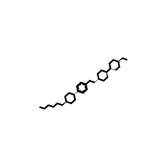 CCCCCC[C@H]1CC[C@H](c2ccc(CC[C@H]3CC[C@H]([C@H]4CC[C@H](CC)CC4)CC3)cc2)CC1